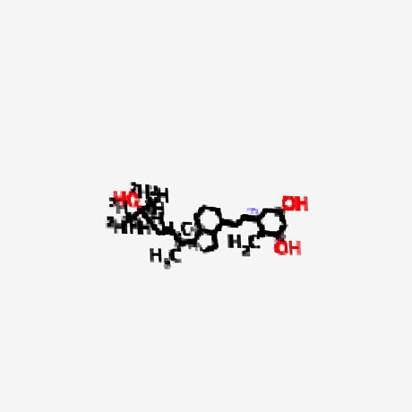 [2H]C([2H])([2H])C(O)(C([2H])([2H])[2H])C([2H])([2H])CC[C@@H](C)[C@H]1CCC2C(=C/C=C3/C[C@@H](O)C[C@@H](O)C3=C)CCC[C@@]21C